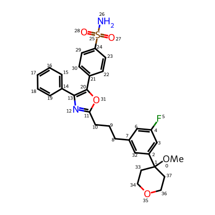 COC1(c2cc(F)cc(CCCc3nc(-c4ccccc4)c(-c4ccc(S(N)(=O)=O)cc4)o3)c2)CCOCC1